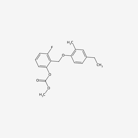 CCc1ccc(OCc2c(F)cccc2OC(=O)OC)c(C)c1